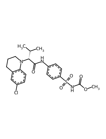 COC(=O)NS(=O)(=O)c1ccc(NC(=O)[C@@H](C(C)C)N2CCCc3cc(Cl)ccc32)cc1